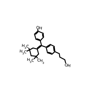 CC1(C)CC(=C(c2ccc(O)cc2)c2ccc(CCCO)cc2)CC(C)(C)C1